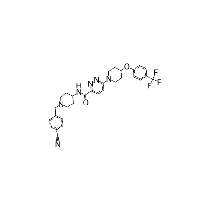 N#Cc1ccc(CN2CCC(NC(=O)c3ccc(N4CCC(Oc5ccc(C(F)(F)F)cc5)CC4)nn3)CC2)cc1